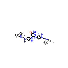 CCN(CC)CCNc1ccc(/N=C2\N=C(N)C(=O)C=C2Nc2ccc(NCCN(CC)CC)cc2)cc1